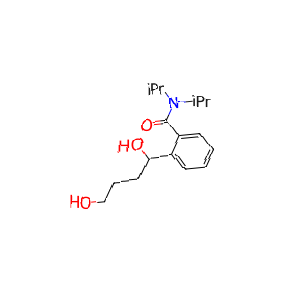 CC(C)N(C(=O)c1ccccc1C(O)CCCO)C(C)C